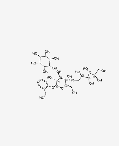 OC[C@@H](O)[C@@H](O)[C@H](O)[C@H](O)CO.OCc1ccccc1O[C@@H]1O[C@H](CO)[C@@H](O)[C@H](O)[C@H]1O.O[C@H]1[C@H](O)[C@@H](O)[C@H](O)[C@@H](O)[C@H]1O